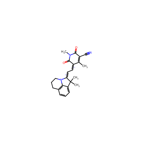 CC1=C(C#N)C(=O)N(C)C(=O)/C1=C\C=C1\N2CCCc3cccc(c32)C1(C)C